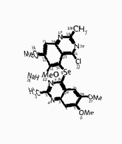 COc1cc2nc(C)nc([Se]c3c(OC)c(OC)cc4nc(C)nc(Cl)c34)c2cc1OC.[NaH]